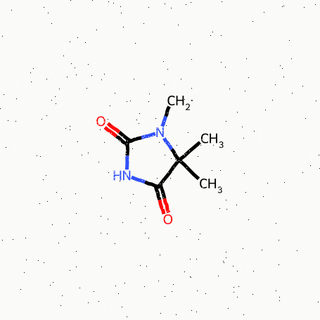 [CH2]N1C(=O)NC(=O)C1(C)C